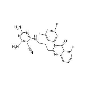 N#Cc1c(N)nc(N)nc1NCCCc1nc2cccc(F)c2c(=O)n1-c1cc(F)cc(F)c1